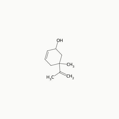 C=C(C)C1(C)CC=CC(O)C1